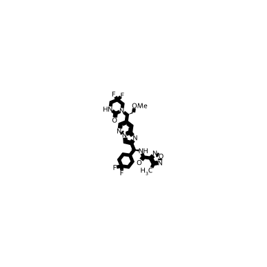 COC[C@H](c1cnn2cc([C@@H](NC(=O)c3nonc3C)C3CCC(F)(F)CC3)nc2c1)N1CC(F)(F)CNC1=O